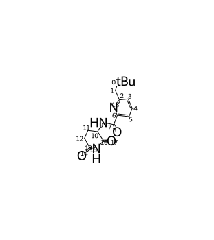 CC(C)(C)Cc1cccc(C(=O)NC2CCC(=O)NC2=O)n1